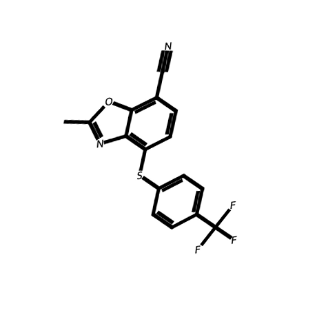 Cc1nc2c(Sc3ccc(C(F)(F)F)cc3)ccc(C#N)c2o1